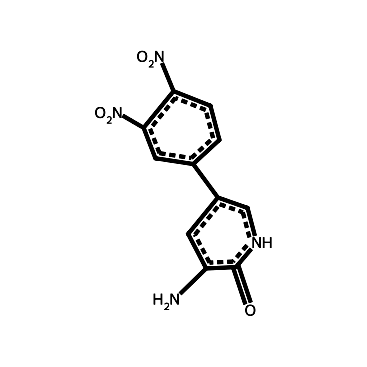 Nc1cc(-c2ccc([N+](=O)[O-])c([N+](=O)[O-])c2)c[nH]c1=O